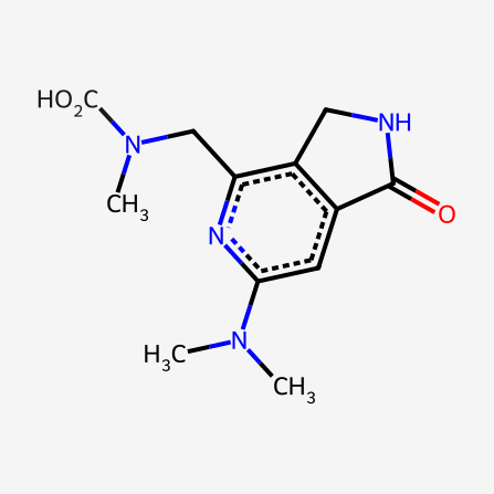 CN(Cc1nc(N(C)C)cc2c1CNC2=O)C(=O)O